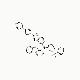 CC1(C)c2ccccc2-c2ccc(N(c3ccc4oc(-c5ccc(-c6ccccc6)cc5)nc4c3)c3cccc4c3oc3ccccc34)cc21